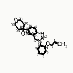 C=CCOc1ccccc1N(N)Cc1cccc(C2(OC)CCOCC2)c1